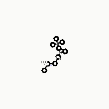 C=C/C(=C\Cc1ccccc1)c1cccc(-c2ncc(-n3c4ccccc4c4cc([Si](c5ccccc5)(c5ccccc5)c5ccccc5)ccc43)cn2)c1